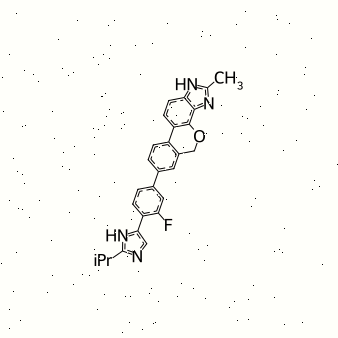 Cc1nc2c3c(ccc2[nH]1)-c1ccc(-c2ccc(-c4cnc(C(C)C)[nH]4)c(F)c2)cc1CO3